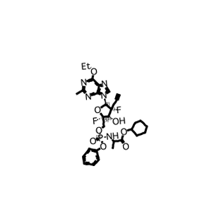 C#C[C@]1(F)[C@H](n2cnc3c(OCC)nc(C)nc32)O[C@](F)(CO[P@@](=O)(NC(C)C(=O)OC2CCCCC2)Oc2ccccc2)[C@H]1O